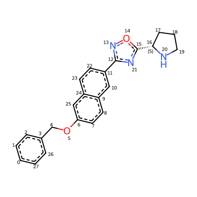 c1ccc(COc2ccc3cc(-c4noc([C@@H]5CCCN5)n4)ccc3c2)cc1